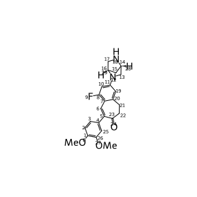 COc1ccc(C2=Cc3c(F)cc(N4C[C@@H]5C[C@H]4CN5)cc3CCC2=O)cc1OC